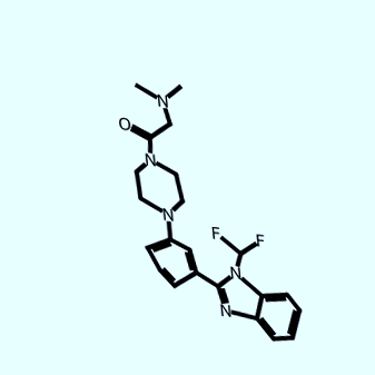 CN(C)CC(=O)N1CCN(c2cccc(-c3nc4ccccc4n3C(F)F)c2)CC1